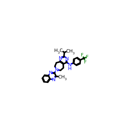 Cc1nc2ccccc2nc1N1CCc2nc(C(C)C)nc(Nc3ccc(C(F)(F)F)cc3)c2CC1